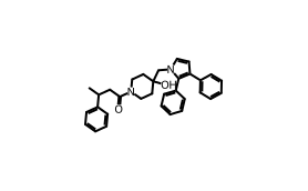 CC(CC(=O)N1CCC(O)(Cn2ccc(-c3ccccc3)c2-c2ccccc2)CC1)c1ccccc1